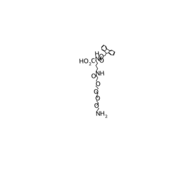 NCCOCCOCCOCCOCCC(=O)NCCCC[C@H](NC(=O)OCC1c2ccccc2-c2ccccc21)C(=O)O